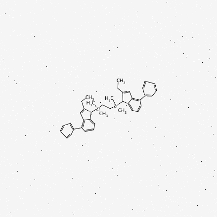 CCC1=Cc2c(-c3ccccc3)cccc2[CH]1[Zr]([CH3])([CH3])[CH2][CH2][Zr]([CH3])([CH3])[CH]1C(CC)=Cc2c(-c3ccccc3)cccc21